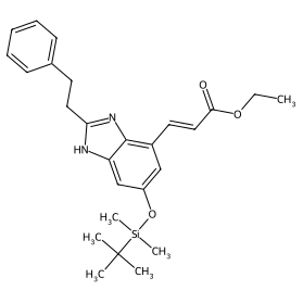 CCOC(=O)C=Cc1cc(O[Si](C)(C)C(C)(C)C)cc2[nH]c(CCc3ccccc3)nc12